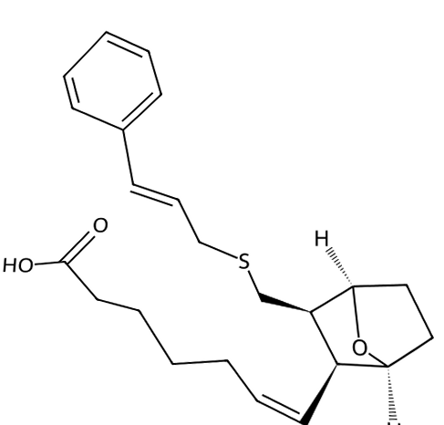 O=C(O)CCCC/C=C\[C@H]1[C@@H](CSCC=Cc2ccccc2)[C@H]2CC[C@@H]1O2